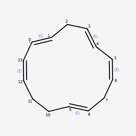 [C]1=C/C/C=C/C=C\C/C=C/CC\C=C/1